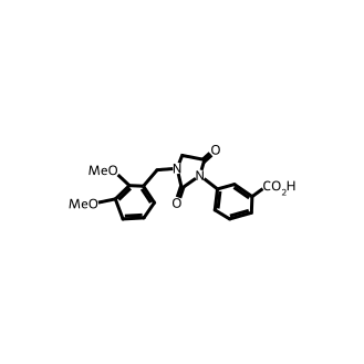 COc1cccc(CN2CC(=O)N(c3cccc(C(=O)O)c3)C2=O)c1OC